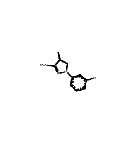 CNC1=NN(c2cccc(Cl)c2)CC1C